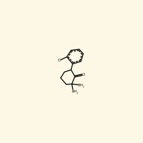 BC1(B)CCCC(c2ccccc2Cl)C1=O